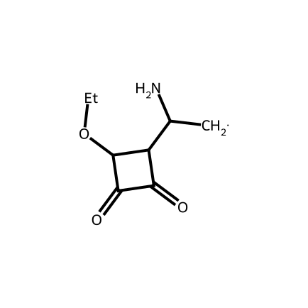 [CH2]C(N)C1C(=O)C(=O)C1OCC